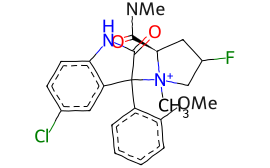 CNC(=O)[C@H]1CC(F)C[N+]1(C)C1(c2ccccc2OC)C(=O)Nc2ccc(Cl)cc21